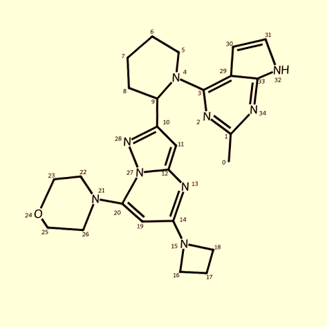 Cc1nc(N2CCCCC2c2cc3nc(N4CCC4)cc(N4CCOCC4)n3n2)c2cc[nH]c2n1